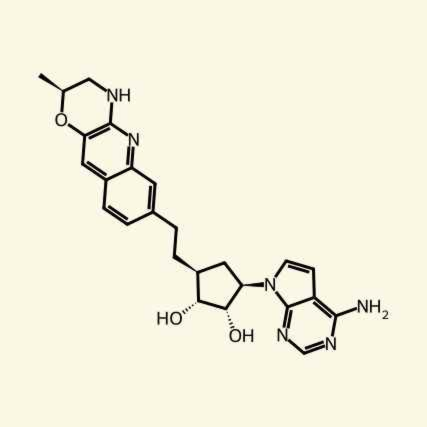 C[C@H]1CNc2nc3cc(CC[C@H]4C[C@@H](n5ccc6c(N)ncnc65)[C@H](O)[C@@H]4O)ccc3cc2O1